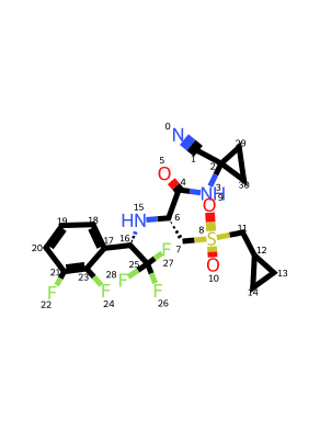 N#CC1(NC(=O)[C@H](CS(=O)(=O)CC2CC2)N[C@@H](c2cccc(F)c2F)C(F)(F)F)CC1